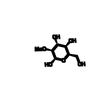 CO[C@@H]1[C@H](O)[C@H](O)[C@@H](CO)O[C@@H]1O